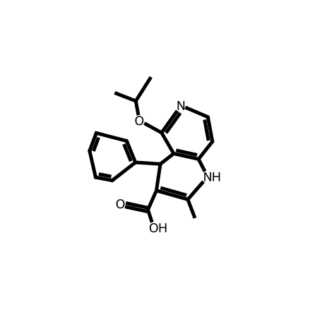 CC1=C(C(=O)O)C(c2ccccc2)c2c(ccnc2OC(C)C)N1